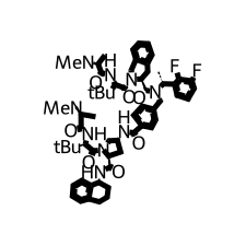 CN[C@@H](C)C(=O)NC(C(=O)N1Cc2ccccc2C[C@H]1C(=O)N(Cc1ccc(C(=O)N[C@H]2C[C@@H](C(=O)N[C@@H]3CCCc4ccccc43)N(C(=O)[C@@H](NC(=O)[C@H](C)NC)C(C)(C)C)C2)cc1)[C@H](C)c1cccc(F)c1F)C(C)(C)C